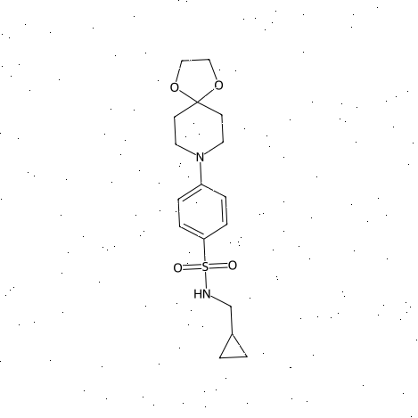 O=S(=O)(NCC1CC1)c1ccc(N2CCC3(CC2)OCCO3)cc1